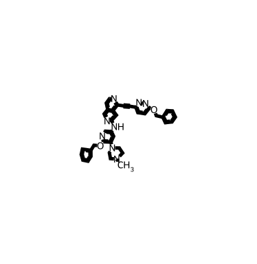 CN1CCN(c2cc(Nc3cc4c(C#Cc5ccc(OCc6ccccc6)nn5)nccc4cn3)cnc2OCc2ccccc2)CC1